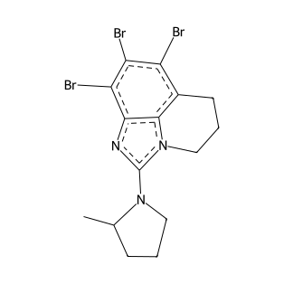 CC1CCCN1c1nc2c(Br)c(Br)c(Br)c3c2n1CCC3